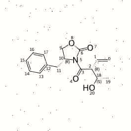 C=C[C@@H](C(=O)N1C(=O)OC[C@H]1Cc1ccccc1)[C@H](C)O